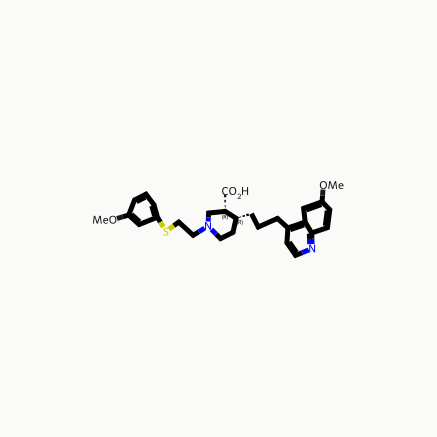 COc1cccc(SCCN2CC[C@@H](CCCc3ccnc4ccc(OC)cc34)[C@@H](C(=O)O)C2)c1